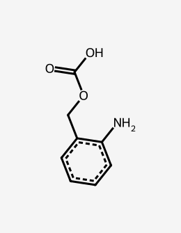 Nc1ccccc1COC(=O)O